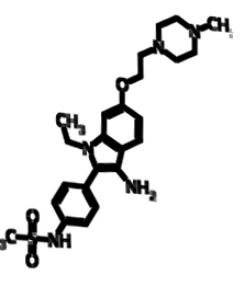 CCn1c(-c2ccc(NS(C)(=O)=O)cc2)c(N)c2ccc(OCCN3CCN(C)CC3)cc21